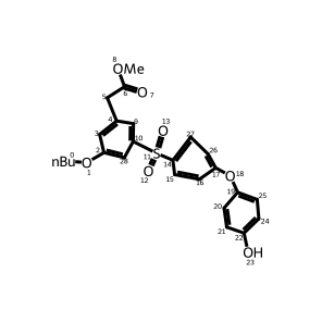 CCCCOc1cc(CC(=O)OC)cc(S(=O)(=O)c2ccc(Oc3ccc(O)cc3)cc2)c1